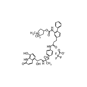 CC(C)(Cc1ccc(NC(=O)CCc2ccc(-c3ccccc3)c(NC(=O)OC3CC[N+](C)(C)CC3)c2)cc1)NC[C@H](O)c1ccc(O)c2[nH]c(=O)ccc12.O=C([O-])C(F)(F)F